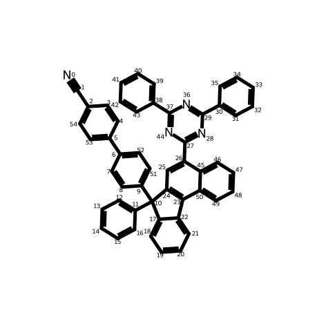 N#Cc1ccc(-c2ccc(C3(c4ccccc4)c4ccccc4-c4c3cc(-c3nc(-c5ccccc5)nc(-c5ccccc5)n3)c3ccccc43)cc2)cc1